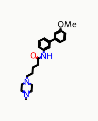 COc1cccc(-c2cccc(NC(=O)CCCCN3CCN(C)CC3)c2)c1